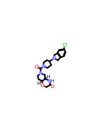 O=C1CO[C@H]2CCN(C(=O)N3CCC(N4Cc5ccc(Cl)cc5C4)CC3)C[C@H]2N1